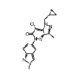 Cc1nn(CC2CC2)c2c(Cl)c(=O)n(-c3ccc4nn(C)cc4c3)nc12